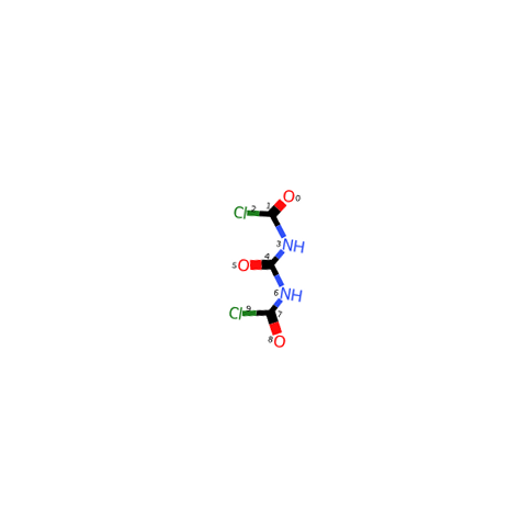 O=C(Cl)NC(=O)NC(=O)Cl